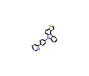 c1ccc(-c2ccc(-n3c4ccccc4c4c5ccsc5ccc43)cc2)nc1